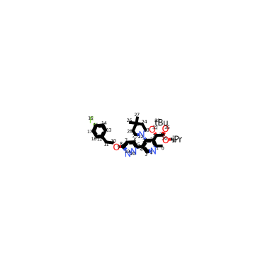 Cc1ncc(-c2ccc(OCCc3ccc(F)cc3)nn2)c(N2CCC(C)(C)CC2)c1C(OC(C)(C)C)C(=O)OC(C)C